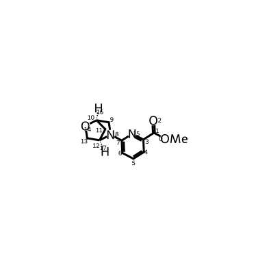 COC(=O)c1cccc(N2C[C@H]3C[C@@H]2CO3)n1